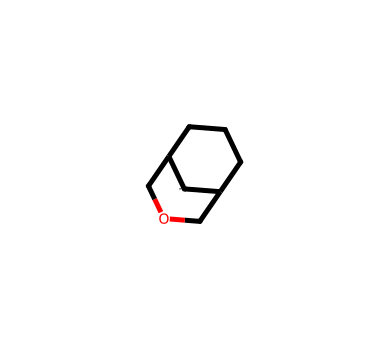 [CH]1C2CCCC1COC2